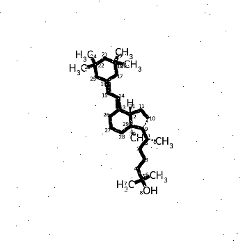 C[C@H](CCCC(C)(C)O)[C@H]1CC[C@H]2/C(=C/C=C3CC(C)(C)CC(C)(C)C3)CCC[C@]12C